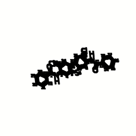 O=C(Nc1cc2sc3cc(NC(=O)c4ccccc4)c(Cl)cc3c2cc1Cl)c1ccccc1